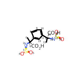 C[C@@](N=S(=O)=O)(C(=O)O)c1cccc([C@](C)(N=S(=O)=O)C(=O)O)c1